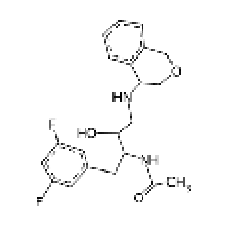 CC(=O)NC(Cc1cc(F)cc(F)c1)C(O)CNC1COCc2ccccc21